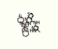 Cc1cc(Nc2nc(N(C)C3CC4CCCC(C3)N4C(=O)CN3CCN(C)CC3)nc3sccc23)n[nH]1